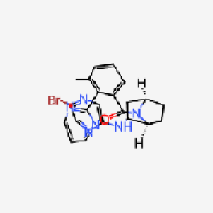 Cc1cccc(C(=O)N2[C@@H]3CC[C@H]2[C@H](Nc2cnc(Br)cn2)C3)c1-c1ncccn1